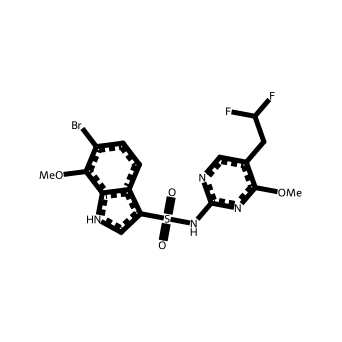 COc1nc(NS(=O)(=O)c2c[nH]c3c(OC)c(Br)ccc23)ncc1CC(F)F